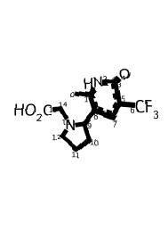 Cc1[nH]c(=O)c(C(F)(F)F)cc1C1CCCN1CC(=O)O